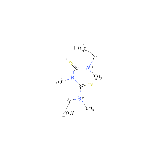 CN(CC(=O)O)C(=S)N(C)C(=S)N(C)CC(=O)O